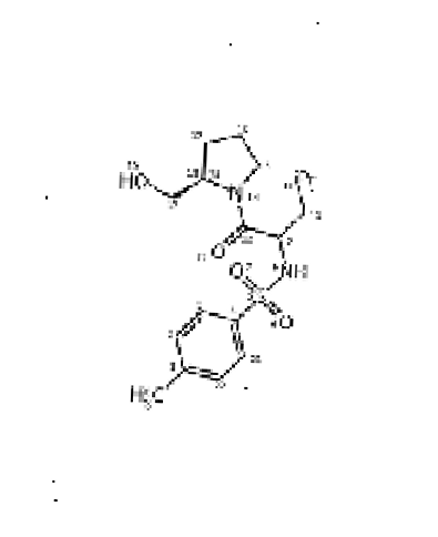 Cc1ccc(S(=O)(=O)NC(CC(C)C)C(=O)N2CCC[C@@H]2CO)cc1